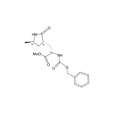 COC(=O)[C@H](C[C@@H]1C[C@@H](C)NC1=O)NC(=O)OCc1ccccc1